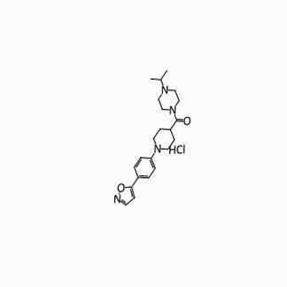 CC(C)N1CCN(C(=O)C2CCN(c3ccc(-c4ccno4)cc3)CC2)CC1.Cl